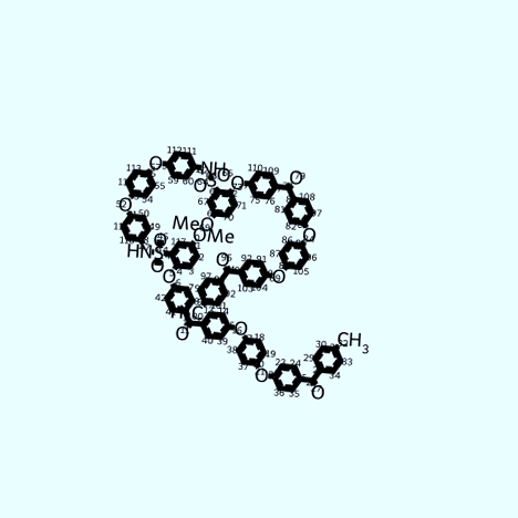 COc1ccc(Oc2ccc(C(=O)c3ccc(Oc4ccc(Oc5ccc(C(=O)c6ccc(C)cc6)cc5)cc4)cc3)cc2)c(S(=O)(=O)Nc2ccc(Oc3ccc(Oc4ccc(NS(=O)(=O)c5cc(OC)ccc5Oc5ccc(C(=O)c6ccc(Oc7ccc(Oc8ccc(C(=O)c9ccc(C)cc9)cc8)cc7)cc6)cc5)cc4)cc3)cc2)c1